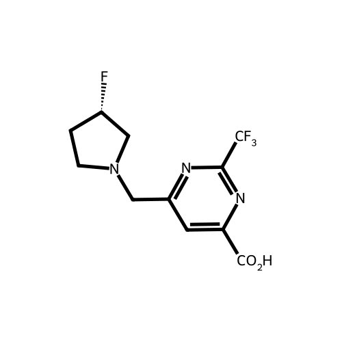 O=C(O)c1cc(CN2CC[C@H](F)C2)nc(C(F)(F)F)n1